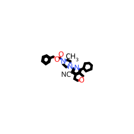 C[C@@H]1CN(c2nc(C3CCCCC3)c3c(c2C#N)CCOC3)CCN1C(=O)OCc1ccccc1